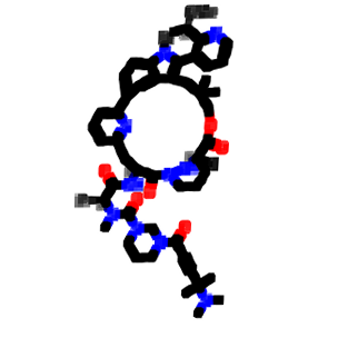 CCn1c(-c2cccnc2[C@H](C)OC)c2c3cc(ccc31)-c1cccc(n1)C[C@H](NC(=O)[C@H](C(C)C)N(C)C(=O)N1CCCN(C(=O)C#CC(C)(C)N(C)C)C1)C(=O)N1CCC[C@H](N1)C(=O)OCC(C)(C)C2